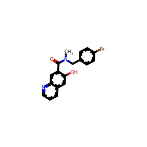 CN(Cc1ccc(Br)cc1)C(=O)c1cc2ncccc2cc1O